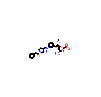 Cc1c(-c2cccc(NCC3CCN(C(=O)Cc4ccccc4)CC3)c2)sc(C(=O)O)c1OCC(=O)O